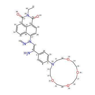 C=NN(/C=C(\N)c1ccc(N2CCOCCOCCOCCOCC2)cc1)c1ccc2c3c(cccc13)C(=O)N(CC)C2=O